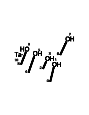 CO.CO.CO.CO.CO.[Ta]